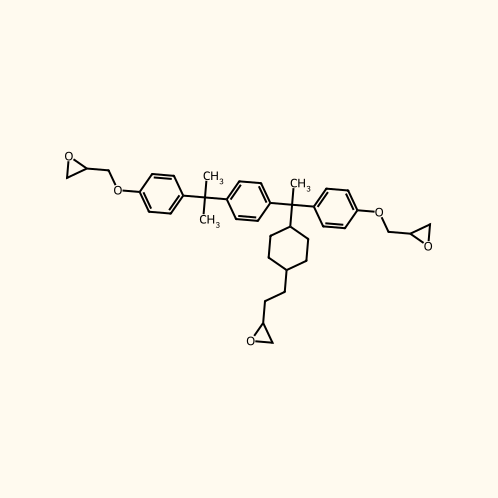 CC(C)(c1ccc(OCC2CO2)cc1)c1ccc(C(C)(c2ccc(OCC3CO3)cc2)C2CCC(CCC3CO3)CC2)cc1